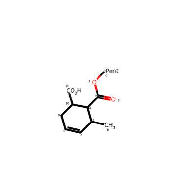 CCCC(C)OC(=O)C1C(C)C=CCC1C(=O)O